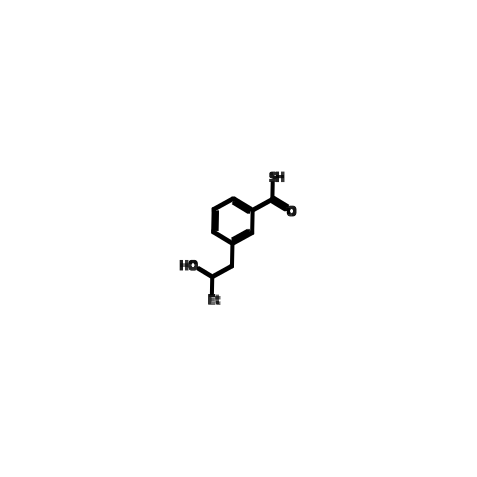 CCC(O)Cc1cccc(C(=O)S)c1